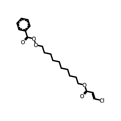 O=C(C=CCl)OCCCCCCCCCCOOC(=O)c1ccccc1